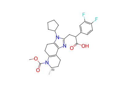 COC(=O)N1C2=C(CC[C@@H]1C)c1nc(CC(C(=O)O)c3ccc(F)c(F)c3)n(C3CCCC3)c1CC2